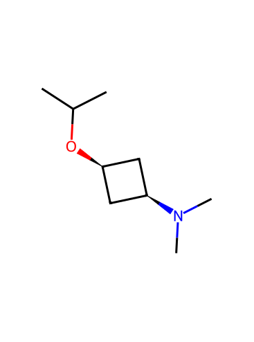 CC(C)O[C@H]1C[C@@H](N(C)C)C1